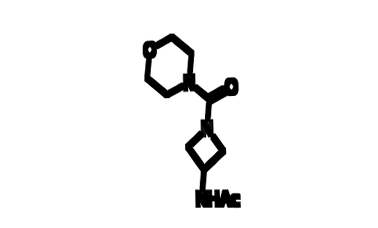 CC(=O)NC1CN(C(=O)N2CCOCC2)C1